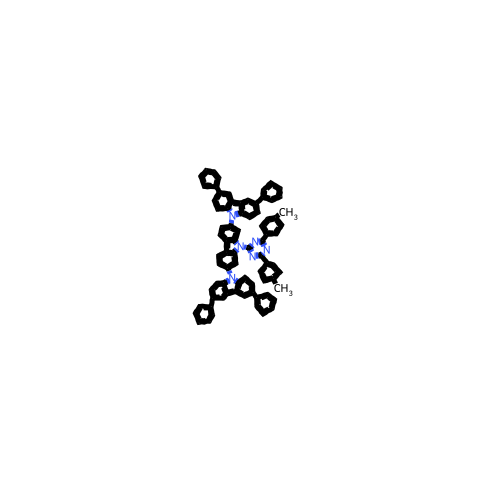 Cc1ccc(-c2nc(-c3ccc(C)cc3)nc(-n3c4cc(-n5c6ccc(-c7ccccc7)cc6c6cc(-c7ccccc7)ccc65)ccc4c4ccc(-n5c6ccc(-c7ccccc7)cc6c6cc(-c7ccccc7)ccc65)cc43)n2)cc1